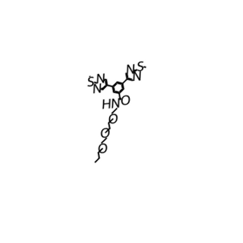 CCCOCCOCCOCCNC(=O)c1cc(-c2cnc(SC)nc2)cc(-c2cnc(SC)nc2)c1